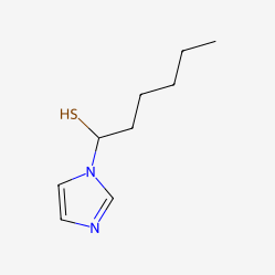 CCCCCC(S)n1ccnc1